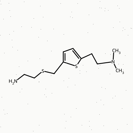 CN(C)CCc1ccc(CSCCN)s1